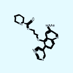 CNc1cnc2ccc(-c3cncnc3)c(OCCCOC(=O)[C@@H]3CCCCN3)c2c1